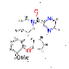 COc1ccc(CC2CCN(C(=O)c3cnccn3)CC2)cc1OC1CCCC1